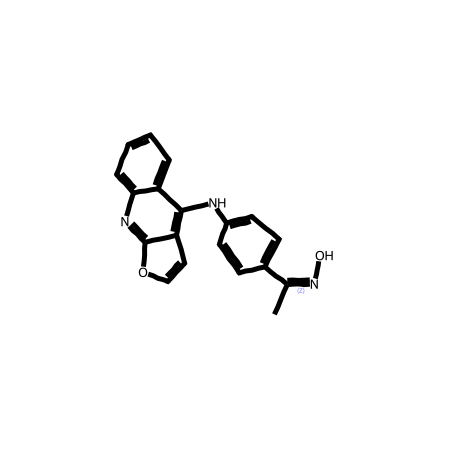 C/C(=N/O)c1ccc(Nc2c3ccccc3nc3occc23)cc1